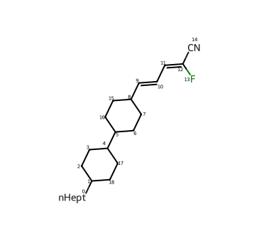 CCCCCCCC1CCC(C2CCC(C=CC=C(F)C#N)CC2)CC1